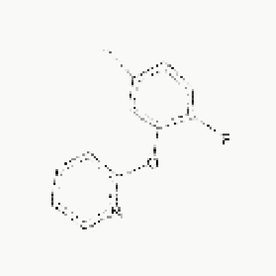 [CH2]c1ccc(F)c(Oc2ccccn2)c1